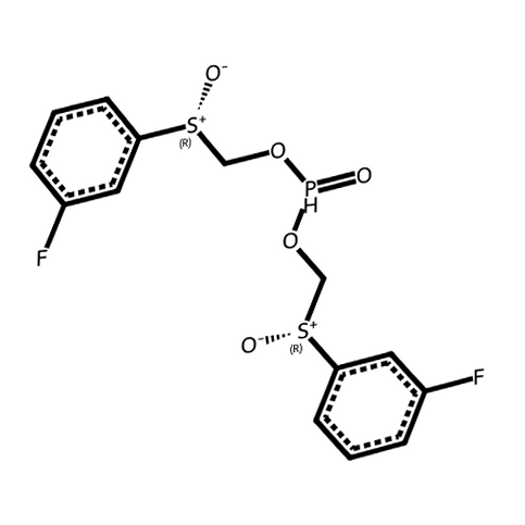 O=[PH](OC[S@@+]([O-])c1cccc(F)c1)OC[S@@+]([O-])c1cccc(F)c1